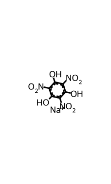 O=[N+]([O-])c1c(O)c([N+](=O)[O-])c(O)c([N+](=O)[O-])c1O.[Na+]